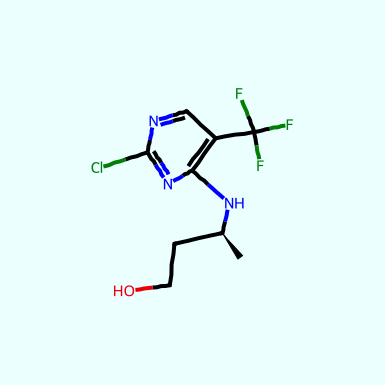 C[C@@H](CCO)Nc1nc(Cl)ncc1C(F)(F)F